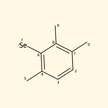 Cc1ccc(C)c([Se])c1C